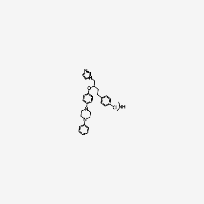 CNC.Clc1ccc(CCC(Cn2ccnc2)Oc2ccc(N3CCN(c4ccccc4)CC3)cc2)cc1